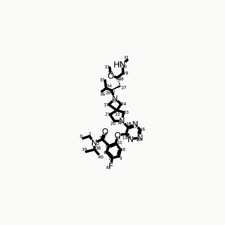 CCN(C(=O)c1cc(F)ccc1Oc1nncnc1N1CCC2(C1)CN([C@H](C[C@@H](CNC)OC)C(C)C)C2)C(C)C